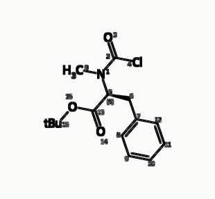 CN(C(=O)Cl)[C@@H](Cc1ccccc1)C(=O)OC(C)(C)C